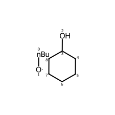 CCCC[O].OC1CCCCC1